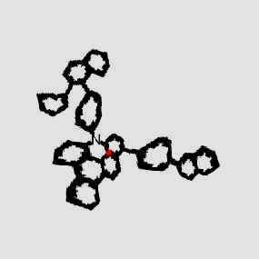 c1ccc(-c2ccc3ccccc3c2-c2ccc(N(c3ccc(-c4ccc(-c5ccc6ccccc6c5)cc4)cc3)c3cccc4c5ccccc5c5ccccc5c34)cc2)cc1